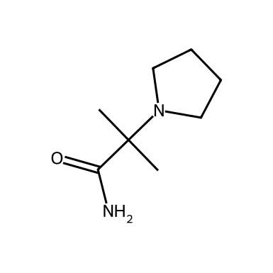 CC(C)(C(N)=O)N1CCCC1